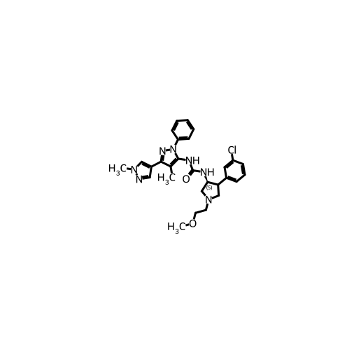 COCCN1CC(c2cccc(Cl)c2)[C@H](NC(=O)Nc2c(C)c(-c3cnn(C)c3)nn2-c2ccccc2)C1